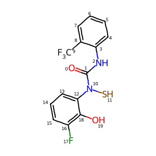 O=C(Nc1ccccc1C(F)(F)F)N(S)c1cccc(F)c1O